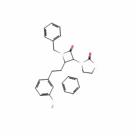 COc1cccc(CCC2C(N3C(=O)OC[C@@H]3c3ccccc3)C(=O)N2Cc2ccccc2)c1